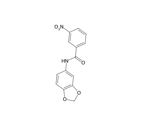 O=C(Nc1ccc2c(c1)OCO2)c1cccc([N+](=O)[O-])c1